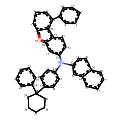 c1ccc(-c2cccc3oc4cc(N(c5ccc(C6(c7ccccc7)CCCCC6)cc5)c5ccc6ccccc6c5)ccc4c23)cc1